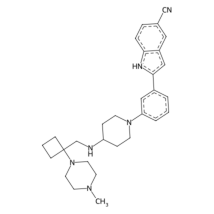 CN1CCN(C2(CNC3CCN(c4cccc(-c5cc6cc(C#N)ccc6[nH]5)c4)CC3)CCC2)CC1